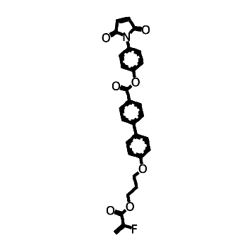 C=C(F)C(=O)OCCCOc1ccc(-c2ccc(C(=O)Oc3ccc(N4C(=O)C=CC4=O)cc3)cc2)cc1